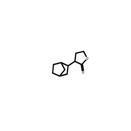 O=C1OCCC1C1CC2CCC1C2